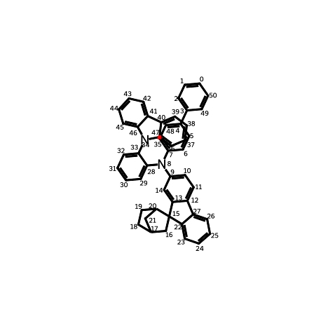 c1ccc(-c2ccc(N(c3ccc4c(c3)C3(CC5CCC3C5)c3ccccc3-4)c3ccccc3-n3c4ccccc4c4ccccc43)cc2)cc1